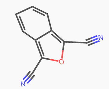 N#Cc1oc(C#N)c2ccccc12